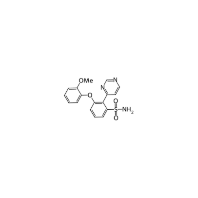 COc1ccccc1Oc1cccc(S(N)(=O)=O)c1-c1ccncn1